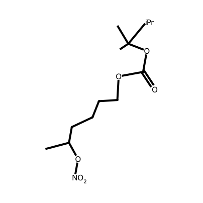 CC(CCCCOC(=O)OC(C)(C)C(C)C)O[N+](=O)[O-]